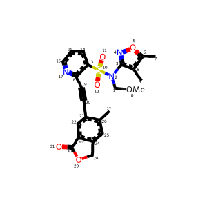 COCN(c1noc(C)c1C)S(=O)(=O)c1cccnc1C#Cc1cc2c(cc1C)COC2=O